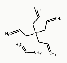 C=CC[N+](CC=C)(CC=C)CC=C.[CH2]C=C